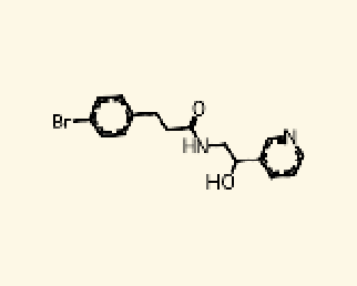 O=C(CCc1ccc(Br)cc1)NCC(O)c1cccnc1